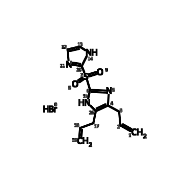 Br.C=CCc1nc(S(=O)(=O)c2ncc[nH]2)[nH]c1CC=C